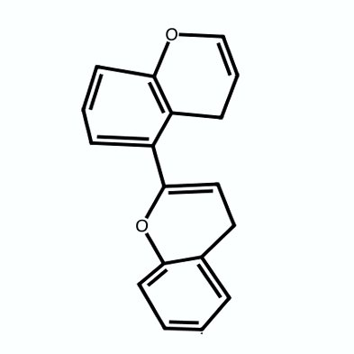 [c]1ccc2c(c1)CC=C(c1cccc3c1CC=CO3)O2